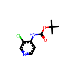 CC(C)(C)OC(=O)Nc1ccncc1Cl